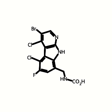 O=C(O)NCc1cc(F)c(Cl)c2c1[nH]c1ncc(Br)c(Cl)c12